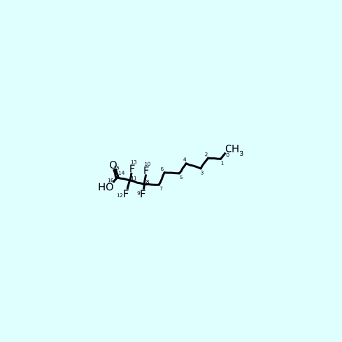 CCCCCCCCC(F)(F)C(F)(F)C(=O)O